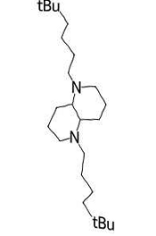 CC(C)(C)CCCCN1CCCC2C1CCCN2CCCCC(C)(C)C